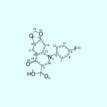 O=C(O)c1cn(-c2ccc(F)cc2)c2cc3c(cc2c1=O)OCO3